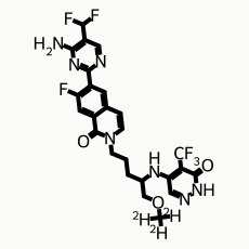 [2H]C([2H])([2H])OCC(CCCn1ccc2cc(-c3ncc(C(F)F)c(N)n3)c(F)cc2c1=O)Nc1cn[nH]c(=O)c1C(F)(F)F